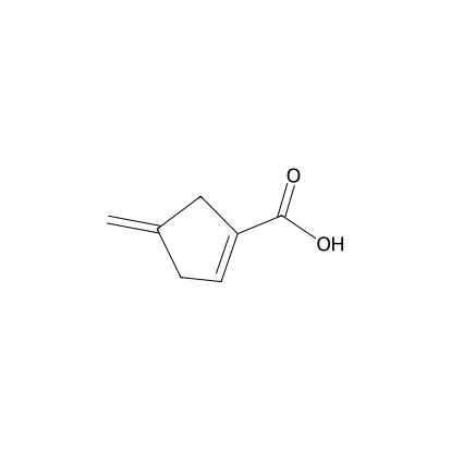 C=C1CC=C(C(=O)O)C1